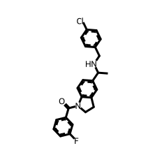 CC(NCc1ccc(Cl)cc1)c1ccc2c(c1)CCN2C(=O)c1cccc(F)c1